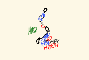 CC(C)CC(NC(=O)Cn1nc(-c2cccc(OCCCCN3CCN(c4ccccc4)CC3)c2)cc1-c1ccccc1)B(O)O.Cl.Cl